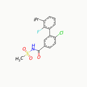 CC(C)c1cccc(-c2cc(C(=O)NS(C)(=O)=O)ccc2Cl)c1F